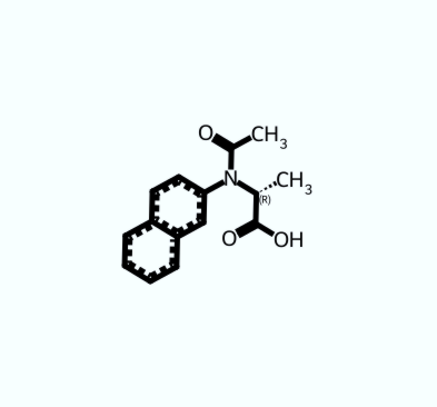 CC(=O)N(c1ccc2ccccc2c1)[C@H](C)C(=O)O